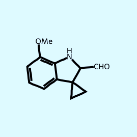 COc1cccc2c1NC(C=O)C21CC1